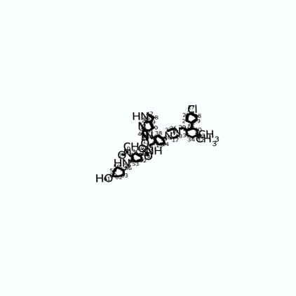 C[N+](=O)c1cc(S(=O)(=O)NC(=O)c2ccc(N3CCN(CC4=C(c5ccc(Cl)cc5)CC(C)(C)CC4)CC3)cc2-n2ncc3nc4[nH]ccc4cc32)ccc1NC[C@H]1CC[C@@H](O)CC1